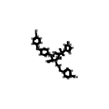 CC(C)(C(=O)N[C@@H](COCc1ccc(F)cc1)C(=O)Nc1ccc(Oc2ccc(F)cc2)cc1)c1c[nH]cn1